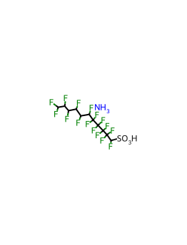 N.O=S(=O)(O)C(F)C(F)(F)C(F)(F)C(F)(F)C(F)(F)C(F)C(F)C(F)C(F)C(F)C(F)F